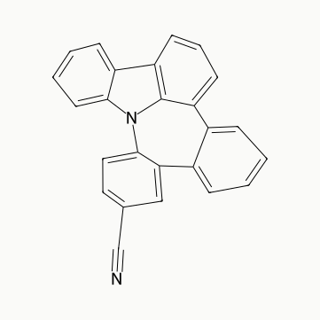 N#Cc1ccc2c(c1)-c1ccccc1-c1cccc3c4ccccc4n-2c13